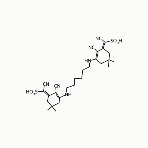 CC1(C)CC(NCCCCCCNC2=C(C#N)/C(=C(\C#N)S(=O)(=O)O)CC(C)(C)C2)=C(C#N)/C(=C(\C#N)S(=O)(=O)O)C1